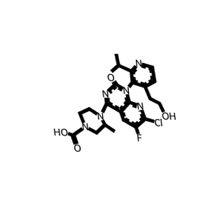 CC(C)c1nccc(CCO)c1-n1c(=O)nc(N2CCN(C(=O)O)CC2C)c2cc(F)c(Cl)nc21